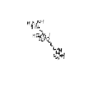 CN(C)c1ncnc2c1ncn2CCCCCOC(=O)NC(CCCNC(=N)N)C(=O)O